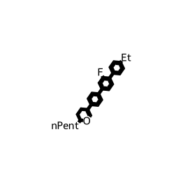 CCCCCC1CCC(c2ccc(-c3ccc(-c4ccc(CC)cc4)c(F)c3)cc2)=CO1